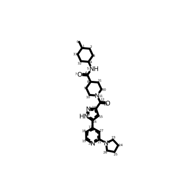 CC1CCC(NC(=O)C2CCN(C(=O)c3cc(-c4ccnc(N5CCCC5)c4)[nH]n3)CC2)CC1